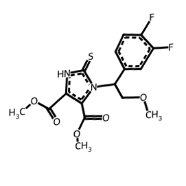 COCC(c1ccc(F)c(F)c1)n1c(C(=O)OC)c(C(=O)OC)[nH]c1=S